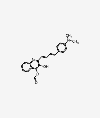 CN(C)c1ccc(/C=C/C=C/c2nc3ccccc3c(OC=O)c2O)cc1